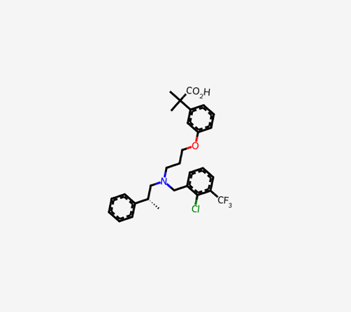 C[C@@H](CN(CCCOc1cccc(C(C)(C)C(=O)O)c1)Cc1cccc(C(F)(F)F)c1Cl)c1ccccc1